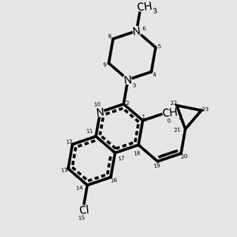 Cc1c(N2CCN(C)CC2)nc2ccc(Cl)cc2c1/C=C\C1CC1